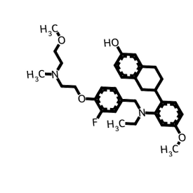 CCN(Cc1ccc(OCCN(C)CCOC)c(F)c1)c1cc(OC)ccc1C1CCc2cc(O)ccc2C1